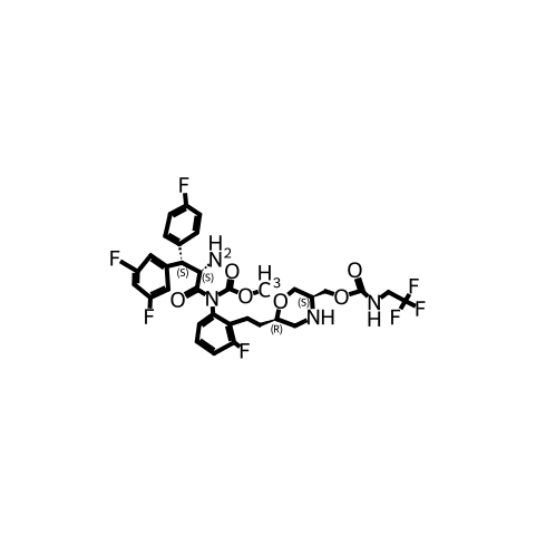 COC(=O)N(C(=O)[C@@H](N)[C@@H](c1ccc(F)cc1)c1cc(F)cc(F)c1)c1cccc(F)c1CC[C@@H]1CN[C@H](COC(=O)NCC(F)(F)F)CO1